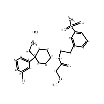 COCC(=O)N(CCc1cccc(S(C)(=O)=O)c1)[C@H]1CC[C@@](CN)(c2cccc(Cl)c2)CC1.Cl